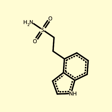 NS(=O)(=O)CCc1cccc2[nH]ccc12